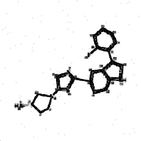 N[C@H]1CCN(c2nnc(-c3ccc4[nH]cc(-c5ccccc5F)c4c3)s2)C1